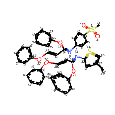 CS(=O)(=O)c1ccc(N=C(C=COc2ccccc2)Oc2ccccc2)cc1.Cc1csc(N=C(C=COc2ccccc2)Oc2ccccc2)c1